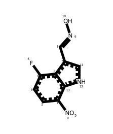 O=[N+]([O-])c1ccc(F)c2c(C=NO)c[nH]c12